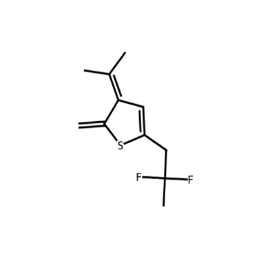 C=c1sc(CC(C)(F)F)cc1=C(C)C